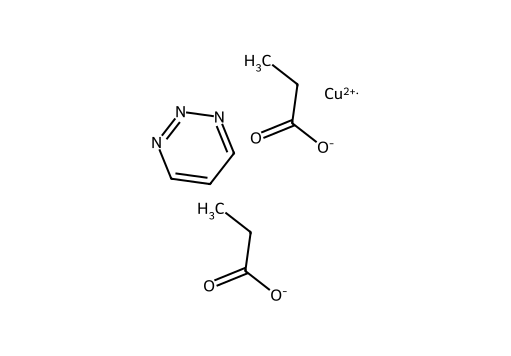 CCC(=O)[O-].CCC(=O)[O-].[Cu+2].c1cnnnc1